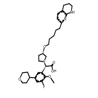 COc1c(F)cc(C2CCOCC2)cc1[C@H](C(=O)O)N1CC[C@@H](OCCCCCc2ccc3c(n2)NCCC3)C1